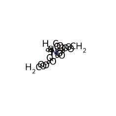 C=CC(=O)OCOc1ccc(C(=O)C(=O)CCc2ccc(OC(=O)c3ccc(OCOC(=O)C=C)c(OCOC(=O)C=C)c3)c(/C=N/Nc3nc4ccccc4s3)c2)cc1